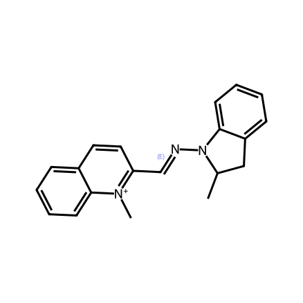 CC1Cc2ccccc2N1/N=C/c1ccc2ccccc2[n+]1C